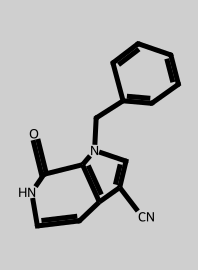 N#Cc1cn(Cc2ccccc2)c2c(=O)[nH]ccc12